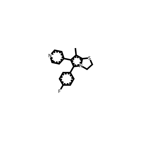 Cc1c(-c2ccncc2)c(-c2ccc(F)cc2)n2c1SCC2